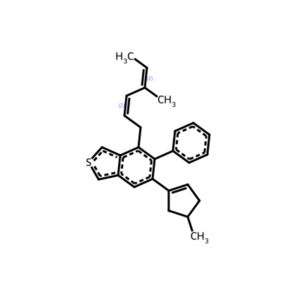 C/C=C(C)\C=C/Cc1c(-c2ccccc2)c(C2=CCC(C)C2)cc2cscc12